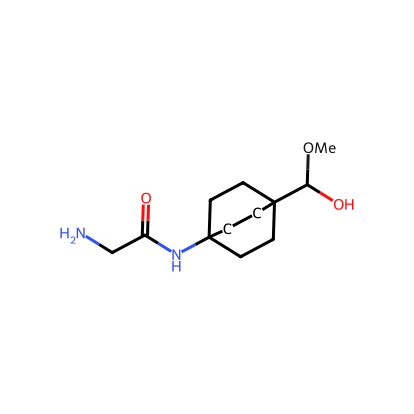 COC(O)C12CCC(NC(=O)CN)(CC1)CC2